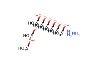 N.N.O=S(=O)(O)O.O=S(=O)(O)O.O=S(=O)(O)O.O=S(=O)(O)O.O=S(=O)(O)O.O=S(=O)(O)O.O=S(=O)(O)O.O=S(=O)(O)O